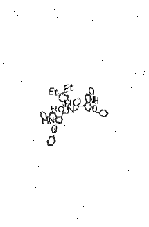 CCc1cc2c(cc1CC)CC(N(CC(O)c1ccc(OCc3ccccc3)c3[nH]c(=O)ccc13)C[C@H](O)c1ccc(OCc3ccccc3)c3[nH]c(=O)ccc13)C2